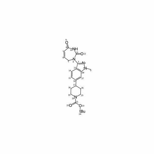 Cn1nc(N2CC=CC(=O)NC2=O)c2ccc(C3CCN(C(=O)OC(C)(C)C)CC3)cc21